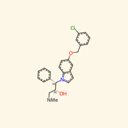 CNC[C@@H](O)[C@H](c1ccccc1)n1ccc2cc(OCc3cccc(Cl)c3)ccc21